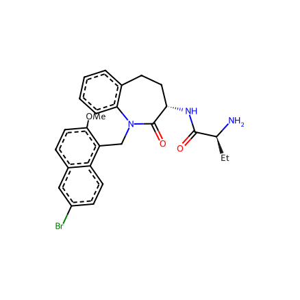 CC[C@H](N)C(=O)N[C@H]1CCc2ccccc2N(Cc2c(OC)ccc3cc(Br)ccc23)C1=O